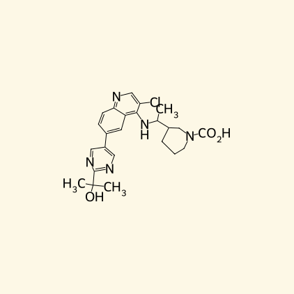 CC(Nc1c(Cl)cnc2ccc(-c3cnc(C(C)(C)O)nc3)cc12)C1CCCN(C(=O)O)C1